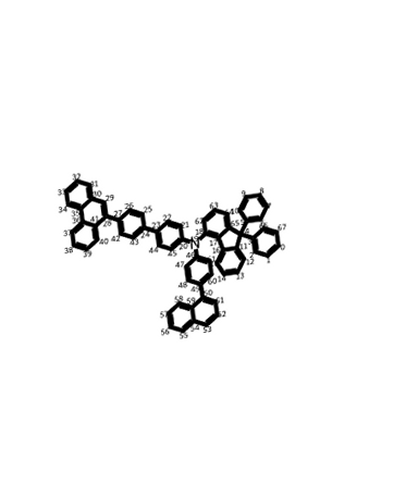 c1ccc(C2(c3ccccc3)c3ccccc3-c3c(N(c4ccc(-c5ccc(-c6cc7ccccc7c7ccccc67)cc5)cc4)c4ccc(-c5cccc6ccccc56)cc4)cccc32)cc1